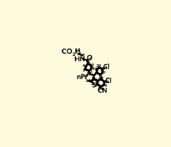 CCC[C@H](c1ccc(C(=O)NCCC(=O)O)cc1)C(c1ccc(Cl)cc1)c1c(C)sc2c(C#N)cc(Cl)cc12